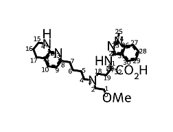 COCCN(CCCCc1ccc2c(n1)NCCC2)CC[C@H](Nc1nn(C)c2ccccc12)C(=O)O